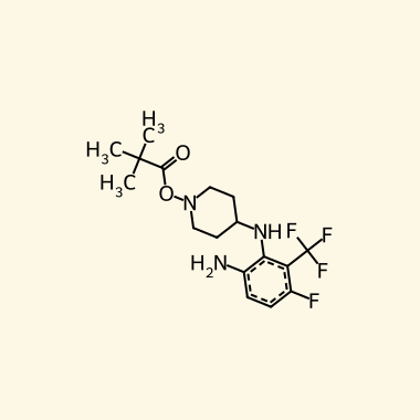 CC(C)(C)C(=O)ON1CCC(Nc2c(N)ccc(F)c2C(F)(F)F)CC1